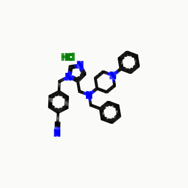 Cl.N#Cc1ccc(Cn2cncc2CN(Cc2ccccc2)C2CCN(c3ccccc3)CC2)cc1